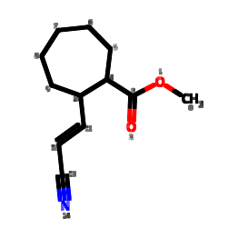 COC(=O)C1CCCCCC1/C=C/C#N